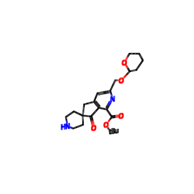 CC(C)(C)OC(=O)c1nc(COC2CCCCO2)cc2c1C(=O)C1(CCNCC1)C2